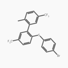 Cc1ccc(C(F)(F)F)cc1-c1cc(C(F)(F)F)ccc1Sc1ccc(Br)cc1